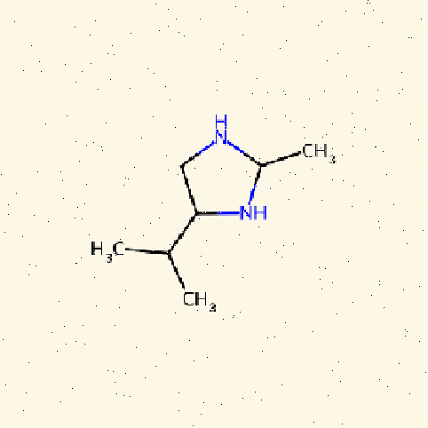 CC1NCC(C(C)C)N1